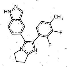 Cc1ccc(-c2nc3n(c2-c2ccc4[nH]ncc4c2)CCC3)c(F)c1F